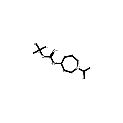 CC(C)N1CCCC(NC(=O)OC(C)(C)C)CC1